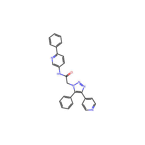 O=C(Cn1nnc(-c2ccncc2)c1-c1ccccc1)Nc1ccc(-c2ccccc2)nc1